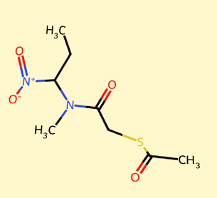 CCC(N(C)C(=O)CSC(C)=O)[N+](=O)[O-]